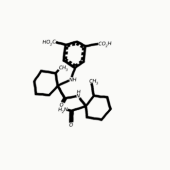 CC1CCCCC1(NC(=O)C1(Nc2cc(C(=O)O)cc(C(=O)O)c2)CCCCC1C)C(N)=O